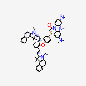 CCN1/C(=C/C=C2\CCCC(/C=C/C3N(CC)c4ccc5ccccc5c4C3(C)C)=C2Oc2ccc(SCC(=O)N3c4ccc(N(C)C)cc4N(C)c4cc(N(C)C)ccc43)cc2)C(C)(C)c2c1ccc1ccccc21